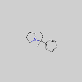 CCC(C)(c1ccccc1)N1CCCC1